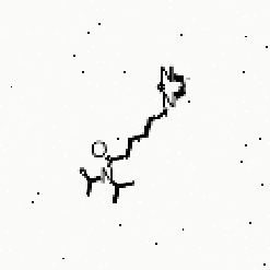 CC(C)N(C(=O)CCCCCn1c[c]nc1)C(C)C